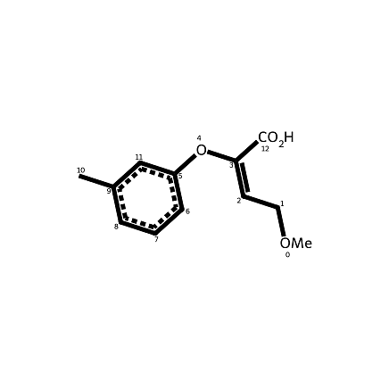 COCC=C(Oc1cccc(C)c1)C(=O)O